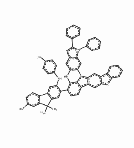 CC(C)(C)c1ccc(Nc2cc3c(cc2-c2ccc4c5cc6sc7ccccc7c6cc5n5c4c2Bc2cc4nc(-c6ccccc6)n(-c6ccccc6)c4cc2-5)C(C)(C)c2cc(C(C)(C)C)ccc2-3)cc1